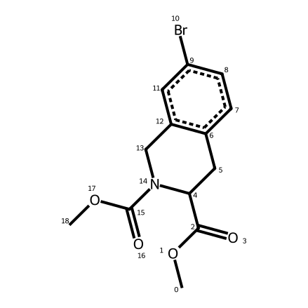 COC(=O)C1Cc2ccc(Br)cc2CN1C(=O)OC